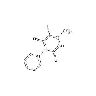 O=C(O)c1[nH]c(=O)n(-c2ccccc2)c(=O)c1I